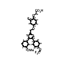 COc1cccc(-c2nc(COc3ccc(OCC(=O)O)c(C)c3)sc2-c2ccc(OC(F)(F)F)cc2)c1